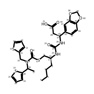 CCCC[C@@H](CSC(=O)N(Cc1cccs1)C(C)c1cccs1)NC(=O)N[C@@H](CC(=O)O)c1ccc2c(c1)OCO2